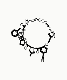 CC(C)C[C@H]1NC(=O)c2cc(C#N)ccc2OCc2cn(nn2)CCCCCCCCNC(=O)[C@H](Cc2ccccc2)N(C)C(=O)[C@H]2CCCN2C1=O